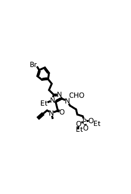 C#CCN(C)C(=O)c1c(N(C=O)CCCCP(=O)(OCC)OCC)nc(CCc2ccc(Br)cc2)n1CC